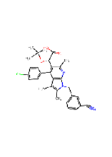 Cc1nc2c(c(C)c(C)n2Cc2cccc(C#N)c2)c(-c2ccc(Cl)cc2)c1[C@H](OC(C)(C)C)C(=O)O